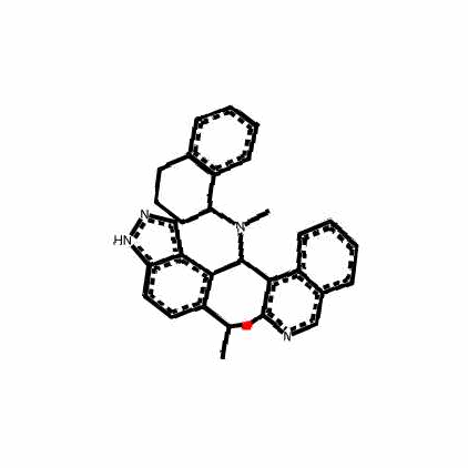 Cc1ncc2ccccc2c1C(c1c(C(C)C)ccc2[nH]ncc12)N(C)C1CCCc2ccccc21